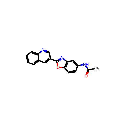 CC(C)C(=O)Nc1ccc2oc(-c3cnc4ccccc4c3)nc2c1